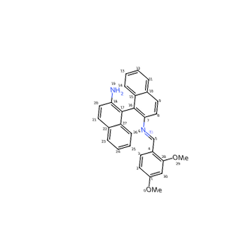 COc1ccc(/C=N/c2ccc3ccccc3c2-c2c(N)ccc3ccccc23)c(OC)c1